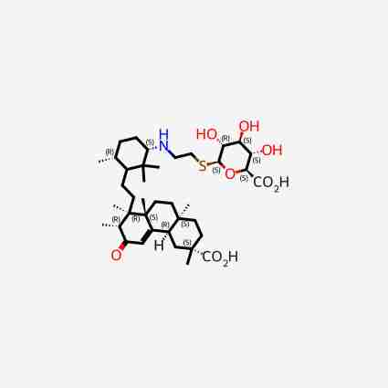 C[C@@H]1CC[C@H](NCCS[C@@H]2O[C@H](C(=O)O)[C@@H](O)[C@H](O)[C@H]2O)C(C)(C)C1CC[C@]1(C)[C@@H](C)C(=O)C=C2[C@@H]3C[C@@](C)(C(=O)O)CC[C@]3(C)CC[C@]21C